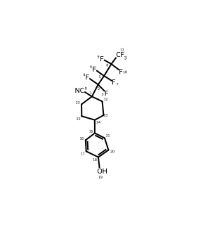 N#CC1(C(F)(F)C(F)(F)C(F)(F)C(F)(F)F)CCC(c2ccc(O)cc2)CC1